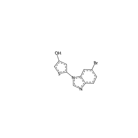 Oc1csc(-n2cnc3ccc(Br)cc32)c1